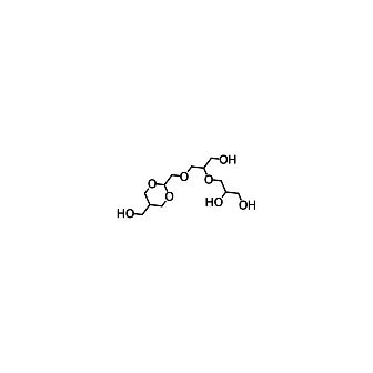 OCC(O)COC(CO)COCC1OCC(CO)CO1